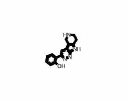 Oc1ccccc1-c1cc2c3c([nH]c2nn1)CCNC3